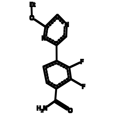 CCOc1cncc(-c2ccc(C(N)=O)c(F)c2F)n1